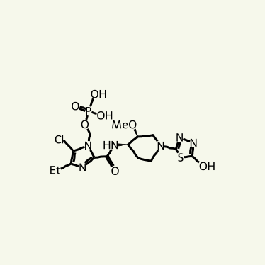 CCc1nc(C(=O)N[C@@H]2CCN(c3nnc(O)s3)C[C@@H]2OC)n(COP(=O)(O)O)c1Cl